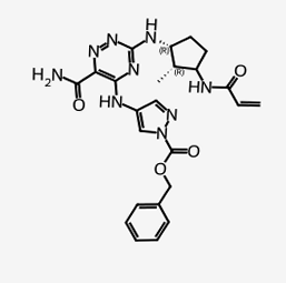 C=CC(=O)NC1CC[C@@H](Nc2nnc(C(N)=O)c(Nc3cnn(C(=O)OCc4ccccc4)c3)n2)[C@H]1C